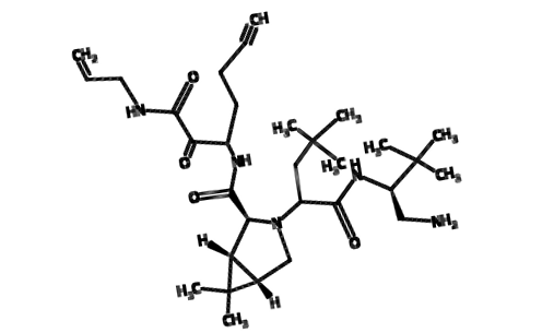 C#CCCC(NC(=O)[C@@H]1[C@@H]2[C@H](CN1C(CC(C)(C)C)C(=O)N[C@H](CN)C(C)(C)C)C2(C)C)C(=O)C(=O)NCC=C